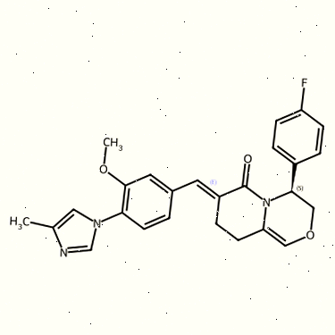 COc1cc(/C=C2\CCC3=COC[C@H](c4ccc(F)cc4)N3C2=O)ccc1-n1cnc(C)c1